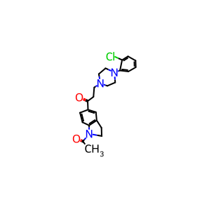 CC(=O)N1CCc2cc(C(=O)CCN3CCN(c4ccccc4Cl)CC3)ccc21